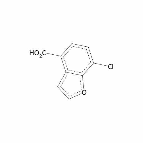 O=C(O)c1ccc(Cl)c2occc12